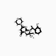 CC(c1ccccc1F)N1c2nc(N3CCOCC3)cc(=O)n2C[C@@]1(C)C(F)(F)F